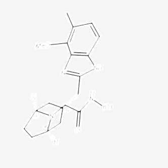 COc1c(C)ccc2[nH]c(C[C@@H]3C[C@H]4CC[C@@H](C3)N4CC(=O)NC(C)(C)C)nc12